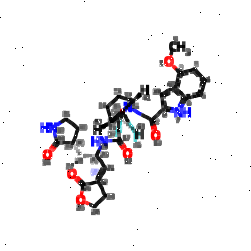 COc1cccc2[nH]c(C(=O)N3[C@H]4CC[C@@H]([C@@H]3C(=O)N[C@H](/C=C3/CCOC3=O)C[C@H]3CCNC3=O)C(F)(F)C4)cc12